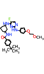 COCCOc1ccc(Nc2ncc(F)c(N[C@H]3CCC[C@H](NC(=O)c4ccc(C(C)(C)C)cc4)C3)n2)cc1